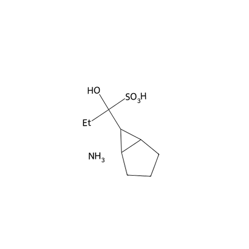 CCC(O)(C1C2CCCC21)S(=O)(=O)O.N